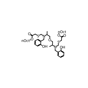 CCCCCCCCOC(=O)CSCN(Cc1ccccc1O)C(C)COCC(C)N(CSCC(=O)OCCCCCCCC)Cc1ccccc1O